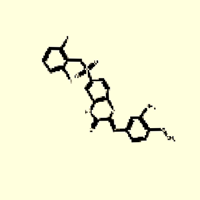 COc1ccc(C=C2Sc3ccc(S(=O)(=O)Cc4c(F)cccc4F)cc3NC2=O)cc1N